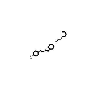 CN(C)c1ccc(C=Cc2cc3ccc(OCCCc4ccccn4)cc3o2)cc1.Cl